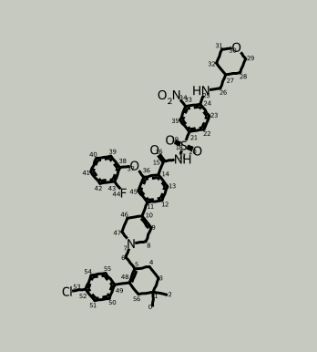 CC1(C)CCC(CN2CC=C(c3ccc(C(=O)NS(=O)(=O)c4ccc(NCC5CCOCC5)c([N+](=O)[O-])c4)c(Oc4ccccc4F)c3)CC2)=C(c2ccc(Cl)cc2)C1